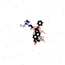 C/C=C\C1(C)/C(=C\C=O)CCC2C1C(O)CC1(C)[C@H]2C[C@H]2O[C@@H](C3CCCCC3)O[C@]21C(=O)COC(=O)CCn1ccnc1C